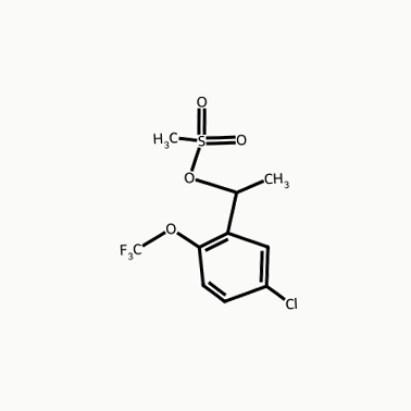 CC(OS(C)(=O)=O)c1cc(Cl)ccc1OC(F)(F)F